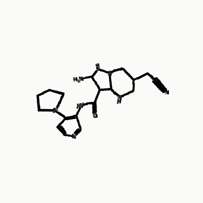 N#CCC1CNC2C(C(=O)Nc3cnccc3N3CCCC3)C(N)NN2C1